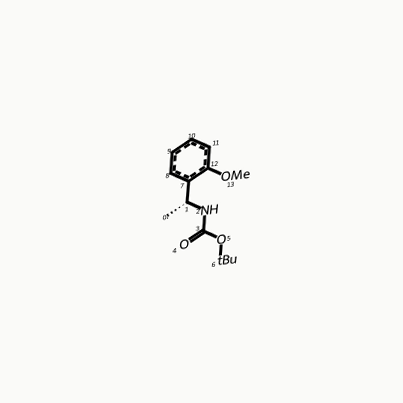 [CH2][C@@H](NC(=O)OC(C)(C)C)c1ccccc1OC